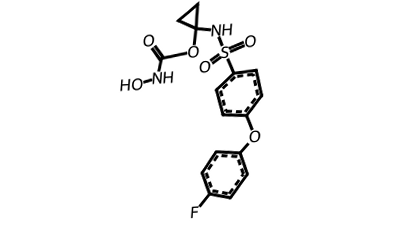 O=C(NO)OC1(NS(=O)(=O)c2ccc(Oc3ccc(F)cc3)cc2)CC1